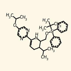 CC(C)Oc1cnc(C2=CCC(C(C)C)C(CO[Si](c3ccccc3)(c3ccccc3)C(C)(C)C)N2)nc1